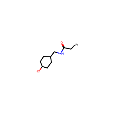 CC(C)CC(=O)NCC1CCC(O)CC1